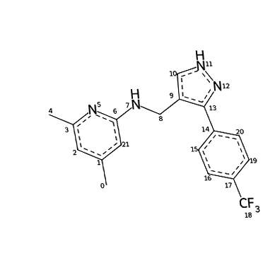 Cc1cc(C)nc(NCc2c[nH]nc2-c2ccc(C(F)(F)F)cc2)c1